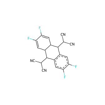 N#CC(C#N)C1c2cc(F)c(F)cc2C(C(C#N)C#N)C2C=C(F)C(F)=CC21